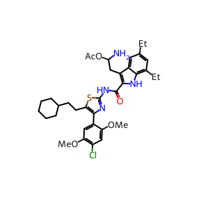 CCc1cc(CC)c2[nH]c(C(=O)Nc3nc(-c4cc(OC)c(Cl)cc4OC)c(CCC4CCCCC4)s3)c(CC(N)OC(C)=O)c2c1